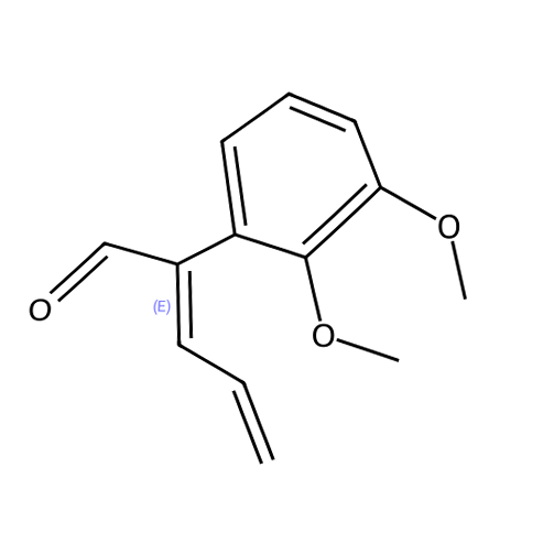 C=C/C=C(/C=O)c1cccc(OC)c1OC